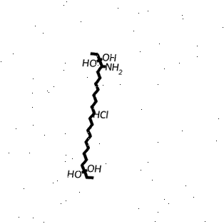 CCC(O)(O)CCCCCCCCCCCCCCCCCC(N)C(O)(O)CC.Cl